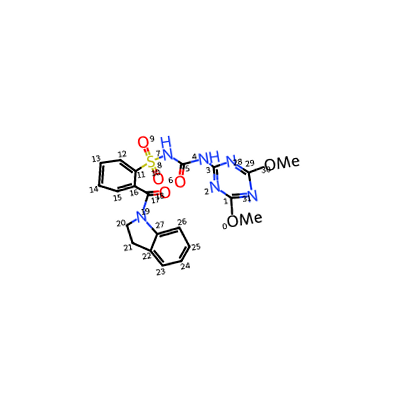 COc1nc(NC(=O)NS(=O)(=O)c2ccccc2C(=O)N2CCc3ccccc32)nc(OC)n1